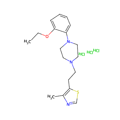 CCOc1ccccc1N1CCN(CCc2scnc2C)CC1.Cl.Cl.Cl